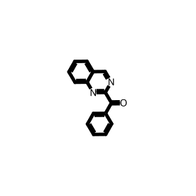 O=C(c1ccccc1)c1ncc2ccccc2n1